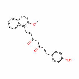 COc1ccc2ccccc2c1C=CC(=O)CC(=O)C=Cc1ccc(O)cc1